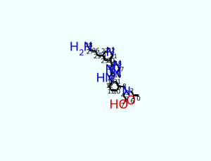 C=CCN(CC(=O)O)Cc1cccc(Nc2ncnc(-c3cncc(CCCN)c3)n2)c1